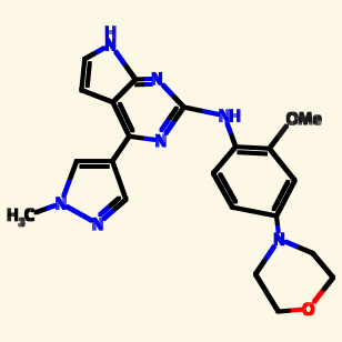 COc1cc(N2CCOCC2)ccc1Nc1nc(-c2cnn(C)c2)c2cc[nH]c2n1